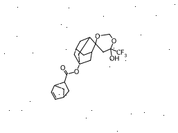 O=C(OC12CC3CC(C1)C1(CC(O)(C(F)(F)F)OCO1)C(C3)C2)C1CC2C=CC1C2